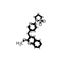 COc1nc2ccccc2cc1Cc1ccc(N2CCCS2(=O)=O)nc1